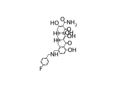 NC(=O)C1=C(O)C[C@@H]2C[C@@H]3Cc4c(CNCc5ccc(F)cc5)ccc(O)c4C(=O)C3=C(O)[C@]2(O)C1=O